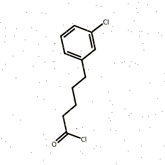 O=C(Cl)CCCCc1cccc(Cl)c1